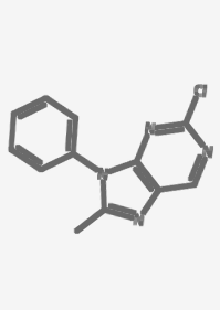 Cc1nc2cnc(Cl)nc2n1-c1ccccc1